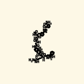 CC(=O)N[C@@H](Cc1cccc(C2=N[C@H](C(=O)N3CCC[C@H]3C(N)=O)CS2)c1)C(=O)NCC(=O)NCC(=O)Nc1ccc(C[C@H](NC(=O)[C@H](CCCNC(=N)N)NC(=O)[C@@H](N)Cc2c[nH]c3ccccc23)C(N)=O)cc1